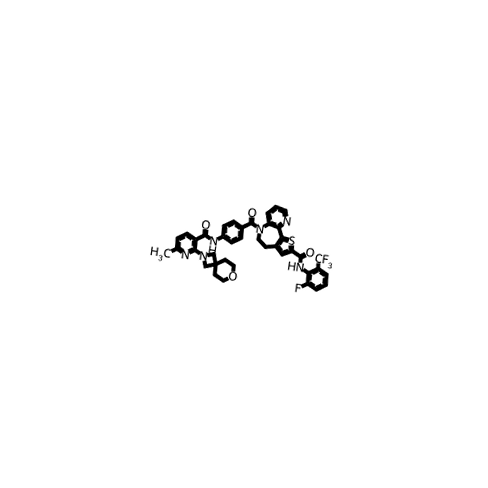 Cc1ccc(C(=O)Nc2ccc(C(=O)N3CCc4cc(C(=O)Nc5c(F)cccc5C(F)(F)F)sc4-c4ncccc43)cc2)c(N2CC3(CCOCC3)C2)n1